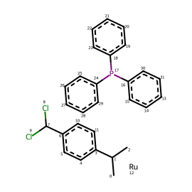 CC(C)c1ccc(C(Cl)Cl)cc1.[Ru].c1ccc(P(c2ccccc2)c2ccccc2)cc1